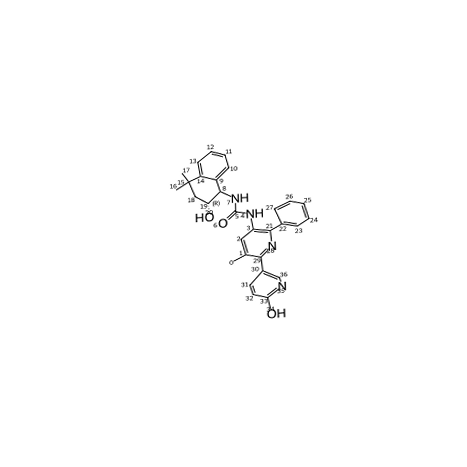 Cc1cc(NC(=O)NC2c3ccccc3C(C)(C)C[C@H]2O)c(-c2ccccc2)nc1-c1ccc(O)nc1